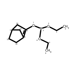 CCOB(OCC)OC1=C2CCC(C2)C1